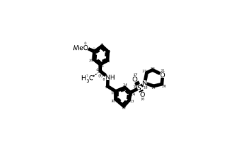 COc1cccc([C@@H](C)NCc2cccc(S(=O)(=O)N3CCOCC3)c2)c1